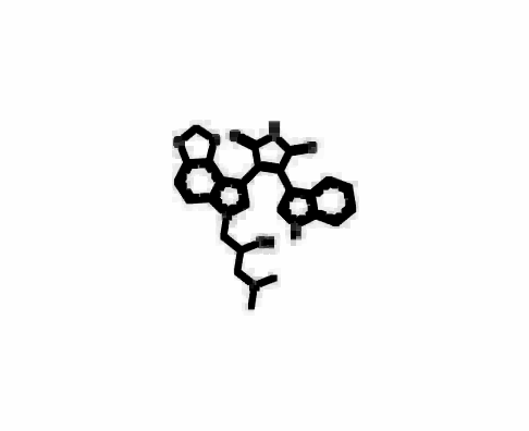 CN(C)CC(O)Cn1cc(C2=C(c3c[nH]c4ccccc34)C(=O)NC2=O)c2c3c(ccc21)OCO3